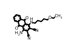 CCOCCCCCNc1c(C#N)c(C#N)c(N)c2c1C(=O)c1ccccc1C2=O